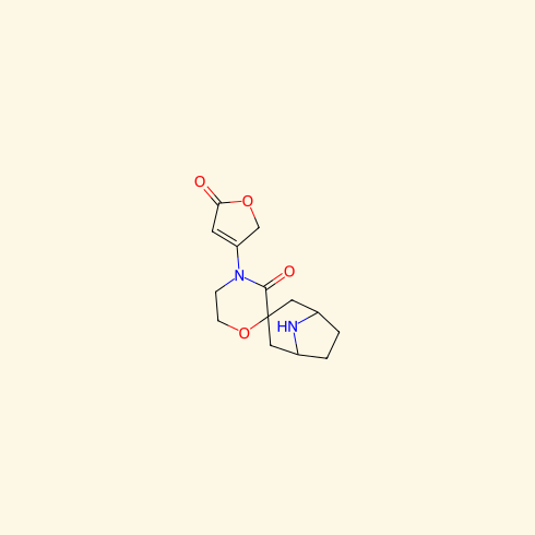 O=C1C=C(N2CCOC3(CC4CCC(C3)N4)C2=O)CO1